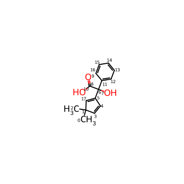 CC1(C)C=CC(C(O)(C(=O)O)c2ccccc2)=C1